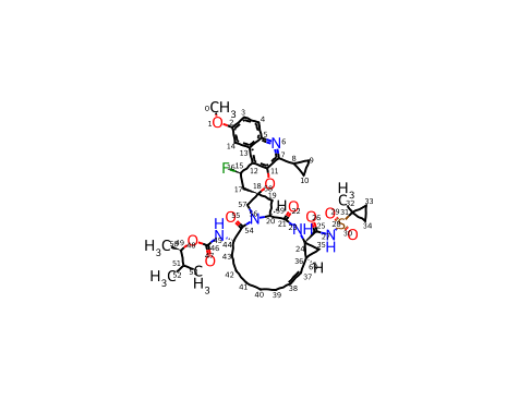 COc1ccc2nc(C3CC3)c3c(c2c1)[C@H](F)C[C@]1(C[C@H]2C(=O)N[C@]4(C(=O)NS(=O)(=O)C5(C)CC5)C[C@H]4/C=C\CCCCC[C@H](NC(=O)O[C@H](C)C(C)C)C(=O)N2C1)O3